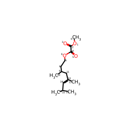 COC(=O)C(=O)OCCC(C)CC(C)=CC(C)C